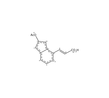 CC(=O)Oc1cc2ccoc(C=CC(=O)O)c-2c1